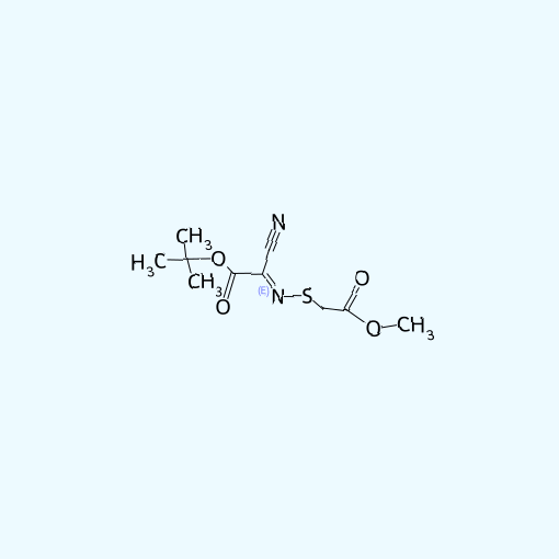 COC(=O)CS/N=C(\C#N)C(=O)OC(C)(C)C